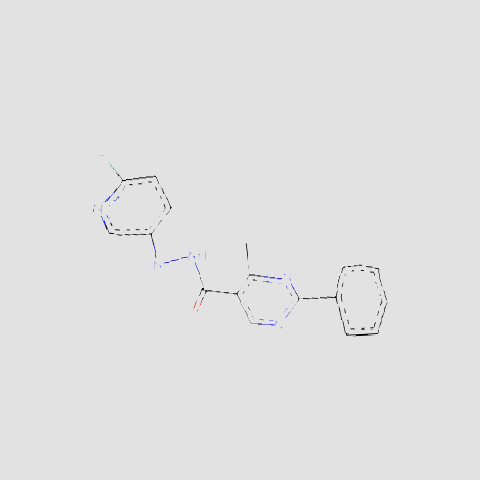 Cc1nc(-c2ccccc2)ncc1C(=O)NNc1ccc(F)nc1